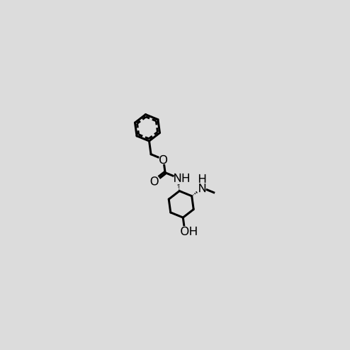 CN[C@@H]1CC(O)CC[C@@H]1NC(=O)OCc1ccccc1